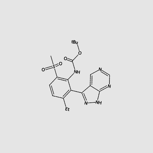 CCc1ccc(S(C)(=O)=O)c(NC(=O)OC(C)(C)C)c1-c1n[nH]c2ncncc12